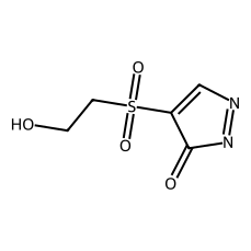 O=C1N=NC=C1S(=O)(=O)CCO